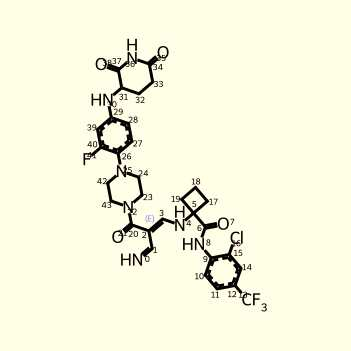 N=C/C(=C\NC1(C(=O)Nc2ccc(C(F)(F)F)cc2Cl)CCC1)C(=O)N1CCN(c2ccc(NC3CCC(=O)NC3=O)cc2F)CC1